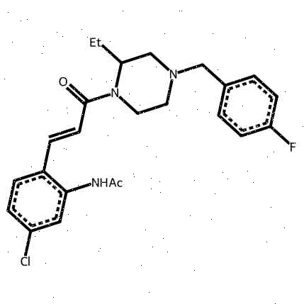 CCC1CN(Cc2ccc(F)cc2)CCN1C(=O)C=Cc1ccc(Cl)cc1NC(C)=O